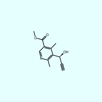 C#C[C@H](O)c1c(C)ncc(C(=O)OC)c1C